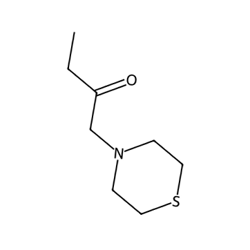 CCC(=O)CN1CCSCC1